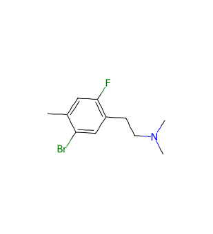 Cc1cc(F)c(CCN(C)C)cc1Br